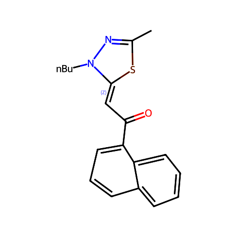 CCCCN1N=C(C)S/C1=C\C(=O)c1cccc2ccccc12